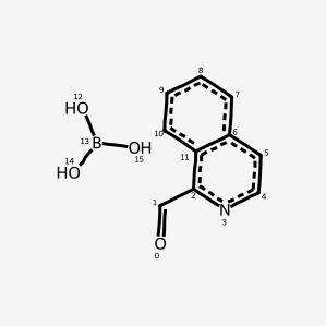 O=Cc1nccc2ccccc12.OB(O)O